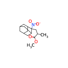 COC(=O)C(C)CC1([N+](=O)[O-])C2CC3CC(C2)CC1C3